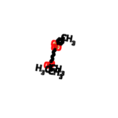 Cc1ccc(S(=O)(=O)OCCCCCCOC(=O)C(C)(C)C)cc1